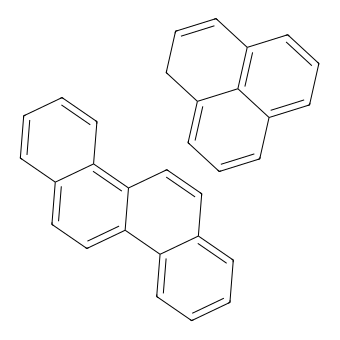 C1=Cc2cccc3cccc(c23)C1.c1ccc2c(c1)ccc1c3ccccc3ccc21